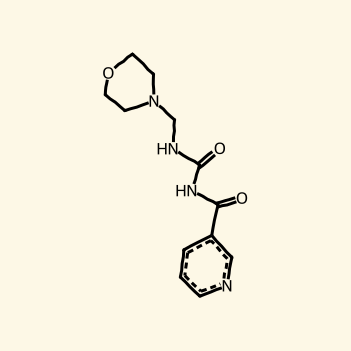 O=C(NCN1CCOCC1)NC(=O)c1cccnc1